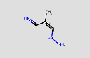 C/C(C=N)=C/NN